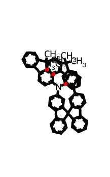 CC(C)(C)c1ccc(-c2ccc3c(c2)C2(c4ccccc4-3)c3ccccc3-c3ccc(N(c4ccc5c(c4)C(C)(C)c4ccccc4-5)c4ccccc4-c4ccccc4)cc32)cc1